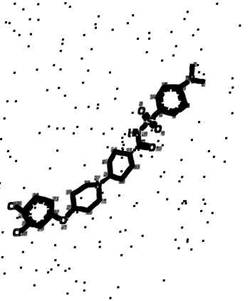 CN(C)c1ccc(S(=O)(=O)NC(=O)[C@H]2CC[C@H](N3CCC(Oc4ccc(Cl)c(Cl)c4)CC3)CC2)cc1